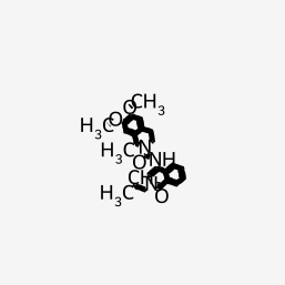 COc1cc2c(cc1OC)C(C)N(C(=O)Nc1cn(CC(C)C)c(=O)c3ccccc13)CC2